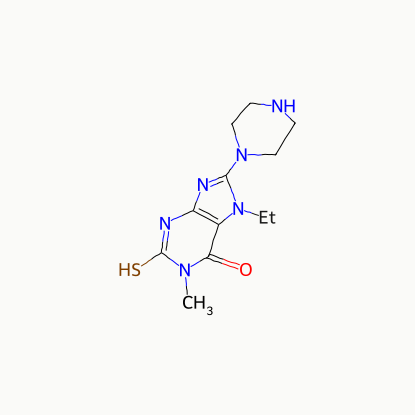 CCn1c(N2CCNCC2)nc2nc(S)n(C)c(=O)c21